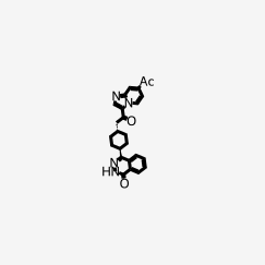 CC(=O)c1ccn2c(C(=O)C[C@H]3CC[C@H](c4n[nH]c(=O)c5ccccc54)CC3)cnc2c1